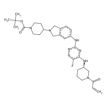 C=CC(=O)N1CCC[C@@H](Nc2nc(Nc3ccc4c(c3)CN(C3CCN(C(=O)OC(C)(C)C)CC3)C4)ncc2F)C1